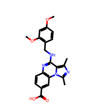 COc1ccc(CNc2nc3ccc(C(=O)O)cc3n3c(C)nc(C)c23)c(OC)c1